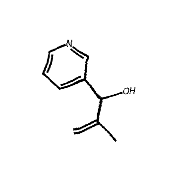 C=C(C)C(O)c1cccnc1